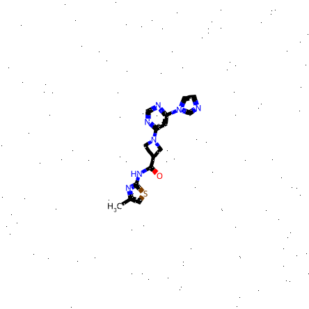 Cc1csc(NC(=O)C2CN(c3cc(-n4ccnc4)ncn3)C2)n1